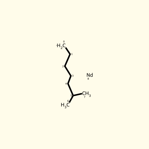 [CH2]CCCCC(C)C.[Nd]